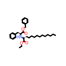 CCCCCCCCCCCC[C@@H](N[C@@H](Cc1ccccc1)C(=O)OCc1ccccc1)C(=O)OCC